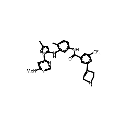 CNc1cc(-n2nc(C)cc2Nc2cc(NC(=O)c3cc(C4=CCN(C)CC4)cc(C(F)(F)F)c3)ccc2C)ncn1